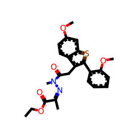 CCOC(=O)C(C)=NN(C)C(=O)Cc1c(-c2ccccc2OC)sc2cc(OC)ccc12